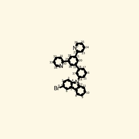 Brc1ccc2c(c1)c1ccccc1n2-c1cccc(-c2cc(-c3ccccn3)cc(-c3ccccn3)c2)c1